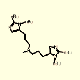 CCCCc1ncc(CCCN(C)CCCc2cnc(CCCC)n2CCCC)n1CCCC